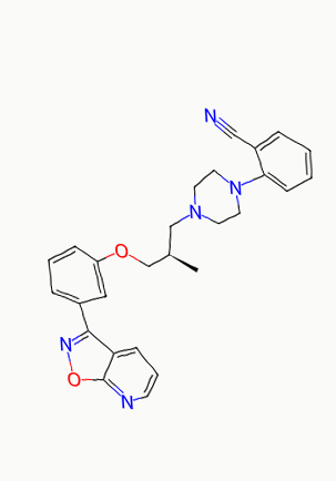 C[C@@H](COc1cccc(-c2noc3ncccc23)c1)CN1CCN(c2ccccc2C#N)CC1